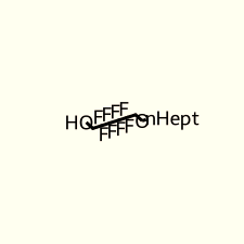 CCCCCCCOCC(F)(F)C(F)(F)C(F)(F)C(F)(F)CO